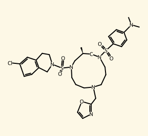 C[C@H]1CN(S(=O)(=O)c2ccc(N(C)C)cc2)CCCN(Cc2ncco2)CCCN(S(=O)(=O)N2CCc3cc(Cl)ccc3C2)C1